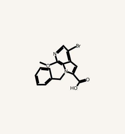 COc1ncc(Br)c2cc(C(=O)O)n(Cc3ccccc3)c12